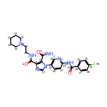 NC(=O)c1c(C(=O)NCCN2CCCCC2)ncn1-c1ccc(NC(=O)c2ccc(F)cc2)nc1